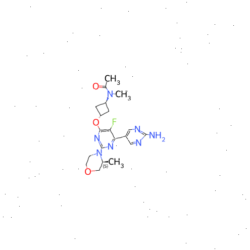 CC(=O)N(C)[C@H]1C[C@H](Oc2nc(N3CCOC[C@@H]3C)nc(-c3cnc(N)nc3)c2F)C1